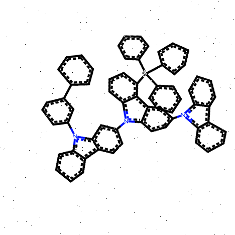 c1ccc(-c2cccc(-n3c4ccccc4c4ccc(-n5c6ccc(-n7c8ccccc8c8ccccc87)cc6c6c([Si](c7ccccc7)(c7ccccc7)c7ccccc7)cccc65)cc43)c2)cc1